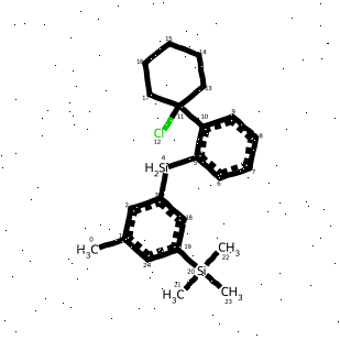 Cc1cc([SiH2]c2ccccc2C2(Cl)CCCCC2)cc([Si](C)(C)C)c1